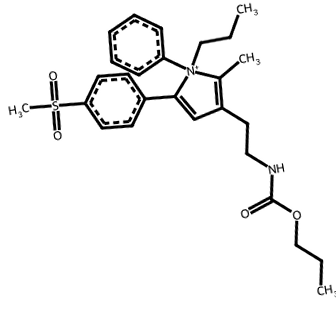 CCCOC(=O)NCCC1=C(C)[N+](CCC)(c2ccccc2)C(c2ccc(S(C)(=O)=O)cc2)=C1